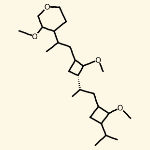 COC1COCCC1C(C)CC1C[C@@H](C(C)CC2CC(C(C)C)C2OC)C1OC